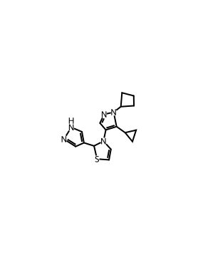 C1=CN(c2cnn(C3CCC3)c2C2CC2)C(c2cn[nH]c2)S1